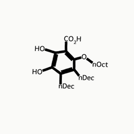 CCCCCCCCCCc1c(O)c(O)c(C(=O)O)c(OCCCCCCCC)c1CCCCCCCCCC